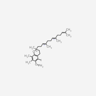 CC(C)=CCC/C(C)=C/CC/C(C)=C/CC[C@]1(C)CCc2c(I)c(OP)c(C)c(C)c2O1